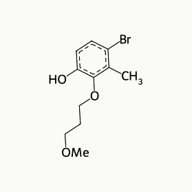 COCCCOc1c(O)ccc(Br)c1C